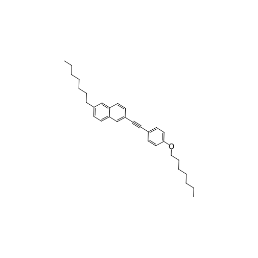 CCCCCCCOc1ccc(C#Cc2ccc3cc(CCCCCCC)ccc3c2)cc1